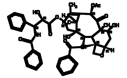 CC[C@@]12CO[C@@H]1C[C@H](O)[C@@]1(C)C(=O)[C@H](OC(C)=O)C3=C(C)[C@@H](OC(=O)[C@H](O)[C@@H](NC(=O)c4ccccc4)c4ccccc4)C[C@@](O)([C@@H](OC(=O)c4ccccc4)C21)C3(C)C